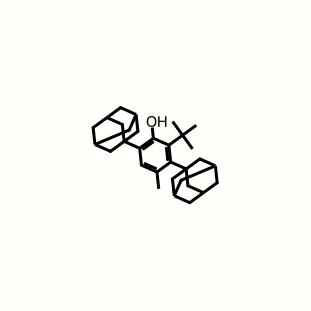 Cc1cc(C23CC4CC(CC(C4)C2)C3)c(O)c(C(C)(C)C)c1C12CC3CC(CC(C3)C1)C2